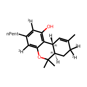 [2H]c1c(O)c2c(c([2H])c1CCCCC)OC(C)(C)[C@@H]1CC([2H])([2H])C(C)=C[C@@H]21